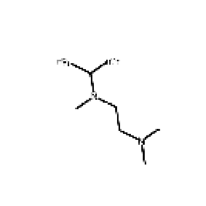 CCCC(CCC)N(C)CCN(C)C